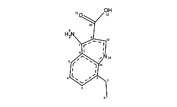 CCc1cccc2c(N)c(C(=O)O)cnc12